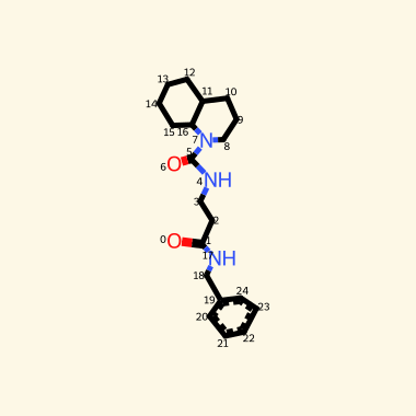 O=C(CCNC(=O)N1CCCC2CCCCC21)NCc1ccccc1